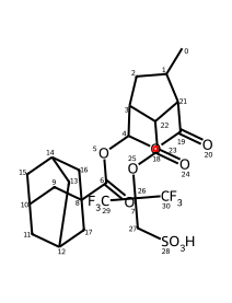 CC1CC2C(OC(=O)C34CC5CC(CC(C5)C3)C4)OC(=O)C1C2C(=O)OC(CS(=O)(=O)O)(C(F)(F)F)C(F)(F)F